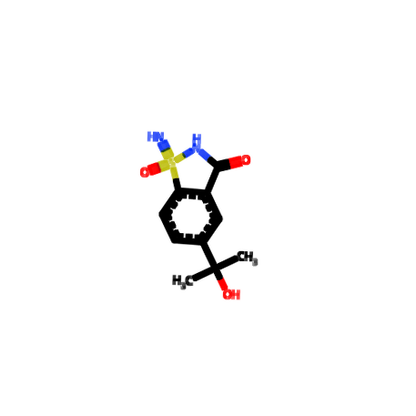 CC(C)(O)c1ccc2c(c1)C(=O)NS2(=N)=O